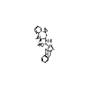 CN1C(=O)[C@@H](NC(O)c2nnc(Cc3ccccc3)[nH]2)CC2(CC2)c2cccnc21